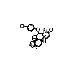 CC1C(Oc2ccc(Cl)cc2)C2N(C)C(=O)C=C[C@]2(C)[C@@H]2CC[C@]3(C)CCC[C@H]3[C@H]12